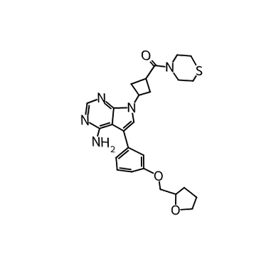 Nc1ncnc2c1c(-c1cccc(OCC3CCCO3)c1)cn2C1CC(C(=O)N2CCSCC2)C1